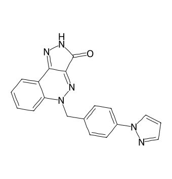 O=c1[nH]nc2c3ccccc3n(Cc3ccc(-n4cccn4)cc3)nc1-2